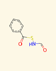 O=CNSC(=O)c1ccccc1